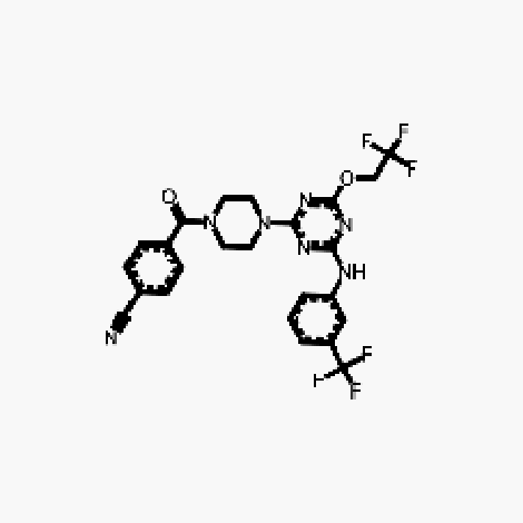 N#Cc1ccc(C(=O)N2CCN(c3nc(Nc4cccc(C(F)(F)F)c4)nc(OCC(F)(F)F)n3)CC2)cc1